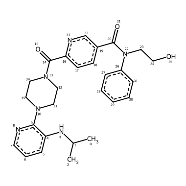 CC(C)Nc1cccnc1N1CCN(C(=O)c2ccc(C(=O)N(CCO)c3ccccc3)cn2)CC1